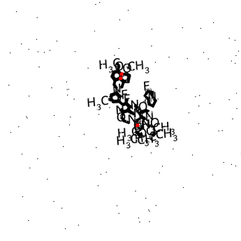 COc1ccc(CN(Cc2ccc(OC)cc2)c2cc(C)cc(-c3nc4c5c(nc(OC[C@@]67CCCN6C[C@H](F)C7)nc5c3F)N([C@H](C)c3cccnc3N(C(=O)OC(C)(C)C)C(=O)OC(C)(C)C)CCO4)c2F)cc1